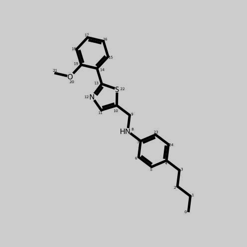 CCCCc1ccc(NCc2cnc(-c3ccccc3OC)s2)cc1